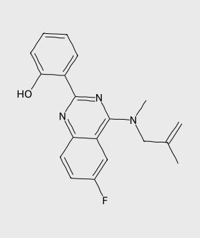 C=C(C)CN(C)c1nc(-c2ccccc2O)nc2ccc(F)cc12